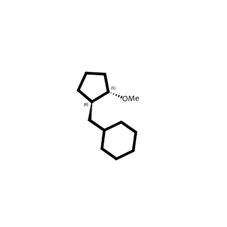 CO[C@H]1CCC[C@@H]1CC1CCCCC1